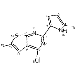 Cc1ccc(-c2nc(Cl)c3cc(C)sc3n2)[nH]1